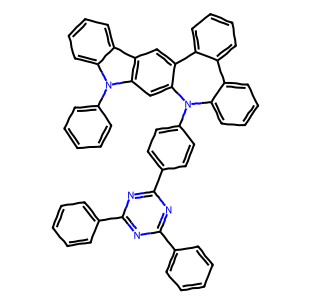 c1ccc(-c2nc(-c3ccccc3)nc(-c3ccc(N4c5ccccc5-c5ccccc5-c5cc6c7ccccc7n(-c7ccccc7)c6cc54)cc3)n2)cc1